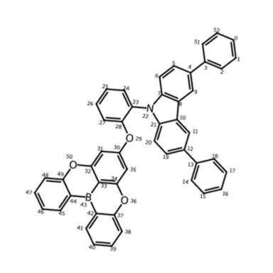 c1ccc(-c2ccc3c(c2)c2cc(-c4ccccc4)ccc2n3-c2ccccc2Oc2cc3c4c(c2)Oc2ccccc2B4c2ccccc2O3)cc1